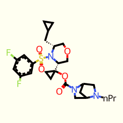 CCCN1CC2CC1CN2C(=O)OC1([C@H]2COC[C@@H](CC3CC3)N2S(=O)(=O)c2cc(F)cc(F)c2)CC1